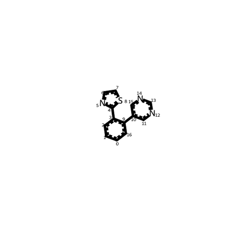 c1ccc(-c2nccs2)c(-c2cncnc2)c1